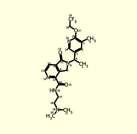 Cc1cc(C(C)N2Cc3c(ccnc3C(=O)NCCN(C)C)C2=O)cnc1OCC(F)(F)F